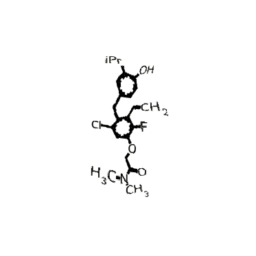 C=Cc1c(F)c(OCC(=O)N(C)C)cc(Cl)c1Cc1ccc(O)c(C(C)C)c1